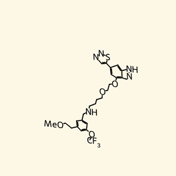 COCCc1cc(CNCCCCOCCOc2cc(-c3cnns3)cc3[nH]ncc23)cc(OC(F)(F)F)c1